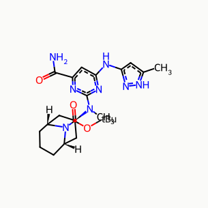 Cc1cc(Nc2cc(C(N)=O)nc(N(C)[C@@H]3C[C@H]4CCC[C@@H](C3)N4C(=O)OC(C)(C)C)n2)n[nH]1